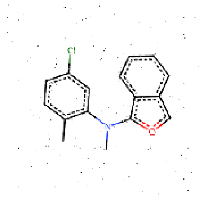 Cc1ccc(Cl)cc1N(C)c1occ2ccccc12